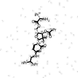 CCCC(CCC)CNc1ccn([C@@H]2O[C@H](COC(=O)[C@@H](N)C(C)C)[C@@H](OC(=O)C(C)C)C2(F)F)c(=O)n1